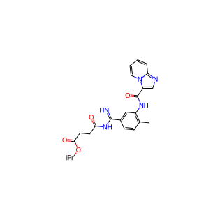 Cc1ccc(C(=N)NC(=O)CCC(=O)OC(C)C)cc1NC(=O)c1cnc2ccccn12